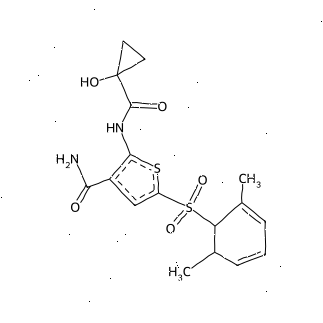 CC1=CC=CC(C)C1S(=O)(=O)c1cc(C(N)=O)c(NC(=O)C2(O)CC2)s1